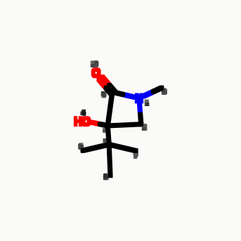 CN1CC(O)(C(C)(C)C)C1=O